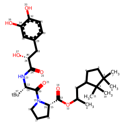 CC(CC1CCC(C)(C)C1(C)C)OC(=O)[C@@H]1CCCN1C(=O)[C@@H](NC(=O)[C@H](O)Cc1ccc(O)c(O)c1)C(C)(C)C